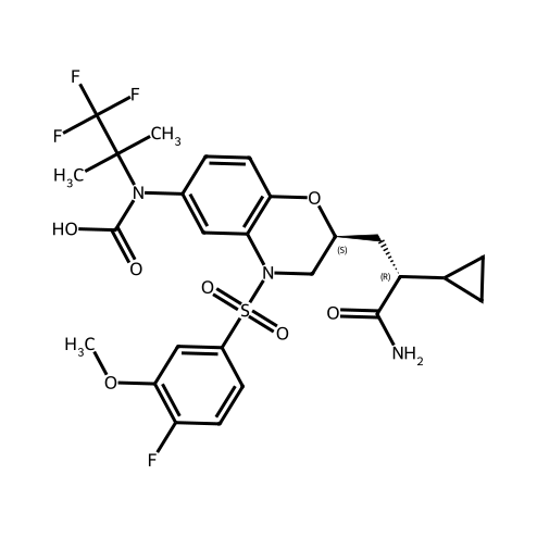 COc1cc(S(=O)(=O)N2C[C@H](C[C@@H](C(N)=O)C3CC3)Oc3ccc(N(C(=O)O)C(C)(C)C(F)(F)F)cc32)ccc1F